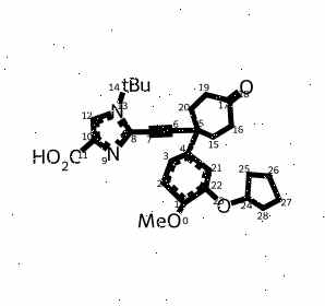 COc1ccc(C2(C#Cc3nc(C(=O)O)cn3C(C)(C)C)CCC(=O)CC2)cc1OC1CCCC1